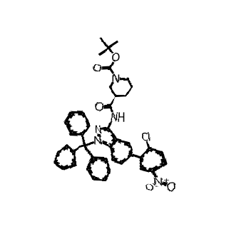 CC(C)(C)OC(=O)N1CCC[C@@H](C(=O)Nc2nn(C(c3ccccc3)(c3ccccc3)c3ccccc3)c3ccc(-c4cc([N+](=O)[O-])ccc4Cl)cc23)C1